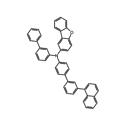 c1ccc(-c2cccc(N(c3ccc(-c4cccc(-c5cccc6ccccc56)c4)cc3)c3ccc4oc5ccccc5c4c3)c2)cc1